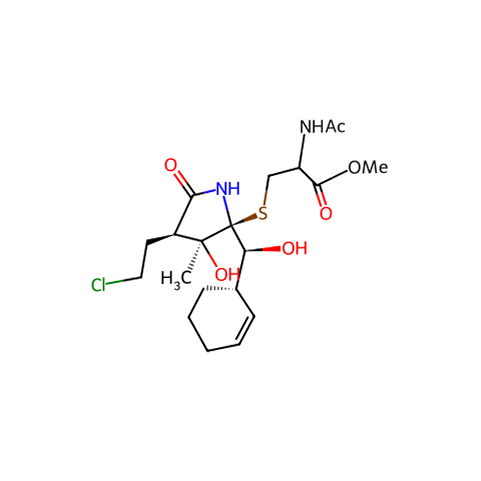 COC(=O)C(CS[C@]1([C@@H](O)[C@@H]2C=CCCC2)NC(=O)[C@H](CCCl)[C@]1(C)O)NC(C)=O